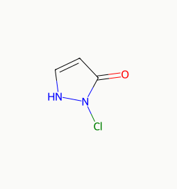 O=c1cc[nH]n1Cl